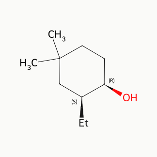 CC[C@H]1CC(C)(C)CC[C@H]1O